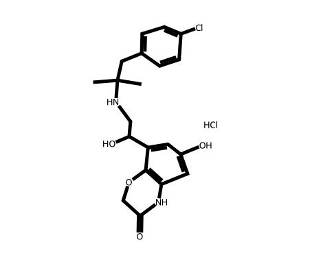 CC(C)(Cc1ccc(Cl)cc1)NCC(O)c1cc(O)cc2c1OCC(=O)N2.Cl